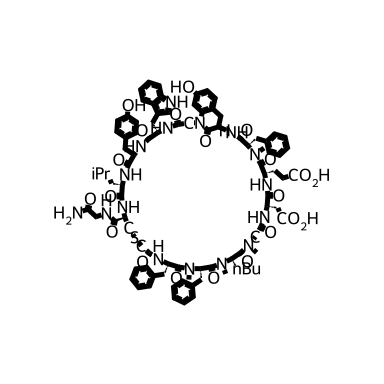 CCCC[C@H]1C(=O)N(C)CC(=O)N[C@@H](CC(=O)O)C(=O)N[C@@H](CCC(=O)O)C(=O)N(C)[C@@H](Cc2ccccc2)C(=O)N[C@H]2Cc3ccc(O)cc3N(CC(=O)N[C@@H](Cc3c[nH]c4ccccc34)C(=O)NC(Cc3ccc(O)cc3)C(=O)N[C@@H](CC(C)C)C(=O)N[C@H](C(=O)NCC(N)=O)CSCC(=O)N[C@@H](Cc3ccccc3)C(=O)N(C)[C@@H](Cc3ccccc3)C(=O)N1C)C2=O